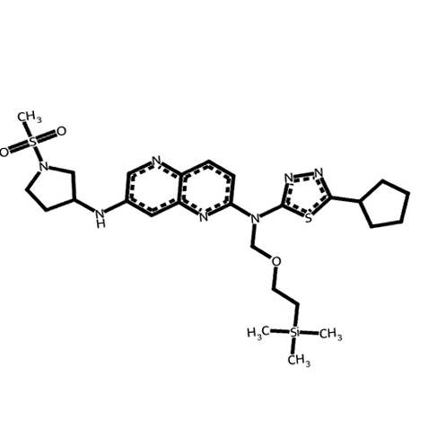 C[Si](C)(C)CCOCN(c1ccc2ncc(NC3CCN(S(C)(=O)=O)C3)cc2n1)c1nnc(C2CCCC2)s1